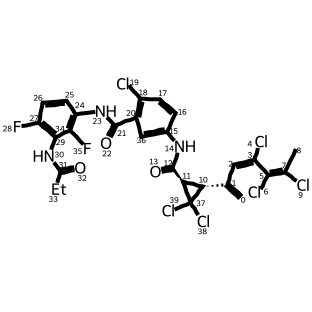 C=C(/C=C(Cl)\C(Cl)=C(/C)Cl)[C@H]1[C@H](C(=O)Nc2ccc(Cl)c(C(=O)Nc3ccc(F)c(NC(=O)CC)c3F)c2)C1(Cl)Cl